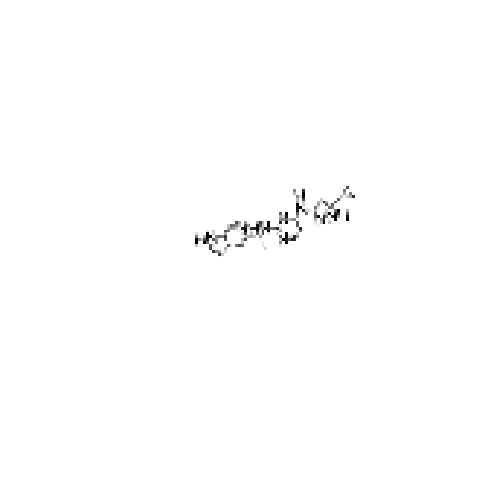 C[C@@H](Nc1nccc(Nc2cc(C3CC3)[nH]n2)n1)c1cc2cc[nH]c2cn1